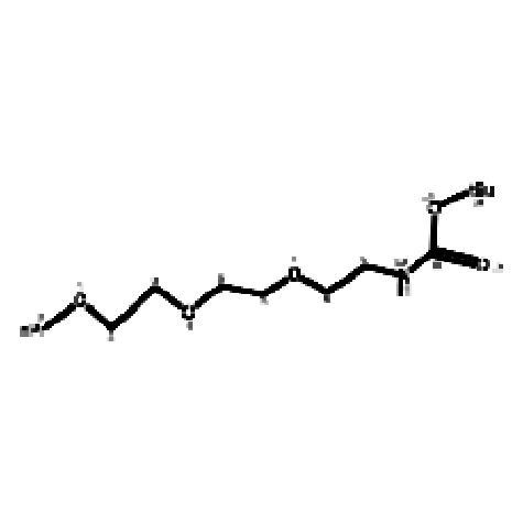 CCCOCCOCCOCCNC(=O)OC(C)(C)C